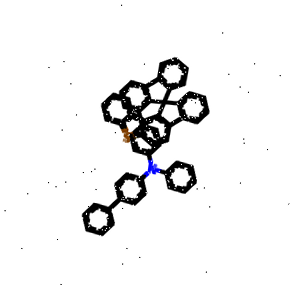 c1ccc(-c2ccc(N(c3ccccc3)c3ccc(-c4cccc5c4C4(c6ccccc6-5)c5ccccc5-c5ccc6sc7ccccc7c6c54)cc3)cc2)cc1